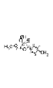 C=C1C=CN([C@@H]2O[C@H](COC)[C@@H](OC)[C@H]2F)C=C1